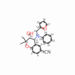 CC1(C)Oc2ccc(C#N)cc2[C@H](N(Cc2ccco2)c2ccccc2)[C@H]1O